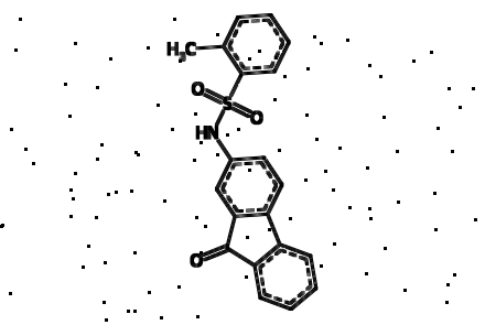 Cc1ccccc1S(=O)(=O)Nc1ccc2c(c1)C(=O)c1ccccc1-2